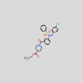 CCOC(=O)C1CCN(C(=O)c2cccc(N(Cc3ccc(Cl)cc3)S(=O)(=O)c3ccccc3)c2)CC1